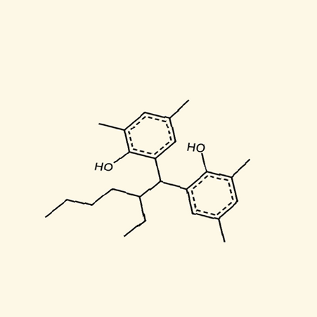 CCCCC(CC)C(c1cc(C)cc(C)c1O)c1cc(C)cc(C)c1O